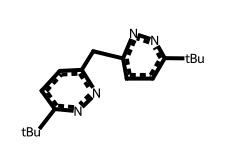 CC(C)(C)c1ccc(Cc2ccc(C(C)(C)C)nn2)nn1